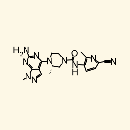 Cc1nc(C#N)ccc1NC(=O)N1CCN(c2nc(N)nc3c2cnn3C)[C@@H](C)C1